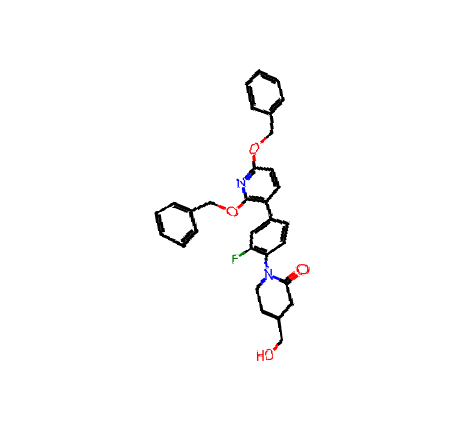 O=C1CC(CO)CCN1c1ccc(-c2ccc(OCc3ccccc3)nc2OCc2ccccc2)cc1F